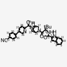 CC(C)(C)[C@H](NC(=O)c1cc2ccccc2[nH]1)C(=O)N1C[C@@H]2CC1CN2C(=O)c1ccc(-c2ccc(C#N)cc2)cn1